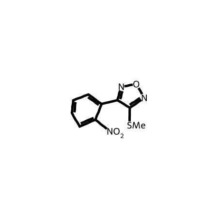 CSc1nonc1-c1ccccc1[N+](=O)[O-]